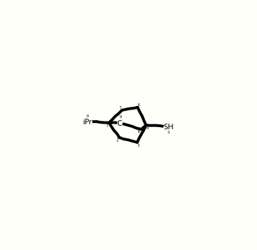 CC(C)C12CCC(S)(CC1)CC2